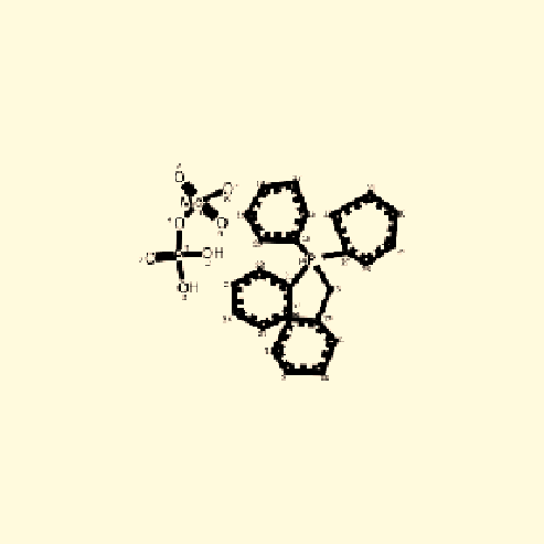 O=P(O)(O)[O][Mo](=[O])(=[O])[O-].c1ccc(C[P+](c2ccccc2)(c2ccccc2)c2ccccc2)cc1